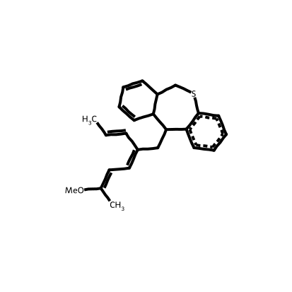 C/C=C/C(=C\C=C(/C)OC)CC1c2ccccc2SCC2C=CC=CC21